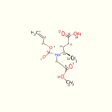 C=CCOC(=O)N(CC(=O)OC)[C@H](C)CCC(=O)O